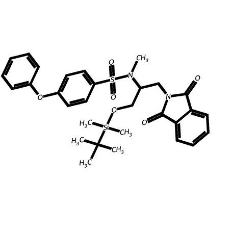 CN(C(CO[Si](C)(C)C(C)(C)C)CN1C(=O)c2ccccc2C1=O)S(=O)(=O)c1ccc(Oc2ccccc2)cc1